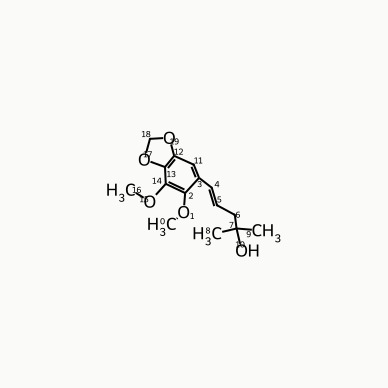 COc1c(/C=C/CC(C)(C)O)cc2c(c1OC)OCO2